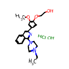 CCN1CCN(c2nc(-c3ccc(OCCO)c(OC)c3)cc3ccccc23)CC1.Cl.Cl